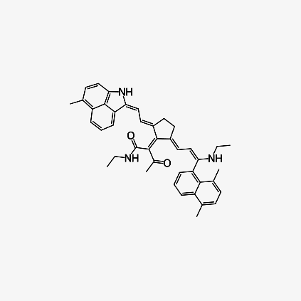 CCNC(=O)/C(C(C)=O)=C1C(=C/C=C(/NCC)c2cccc3c(C)ccc(C)c23)/CCC/1=C\C=c1\[nH]c2ccc(C)c3cccc1c23